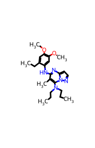 CCCN(CCC)c1c(C)c(Nc2cc(OC)c(OC)cc2CC)nc2ccnn12